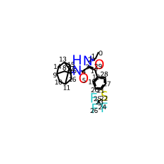 Cc1nc(C(=O)NC23CC4CC(CC(C4)C2)C3)c(-c2ccc(SC(F)(F)F)cc2)o1